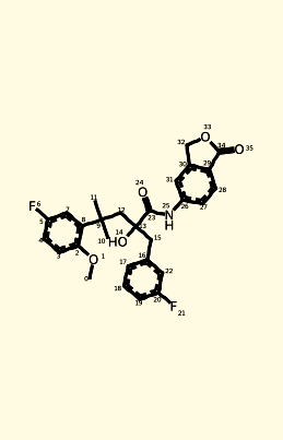 COc1ccc(F)cc1C(C)(C)CC(O)(Cc1cccc(F)c1)C(=O)Nc1ccc2c(c1)COC2=O